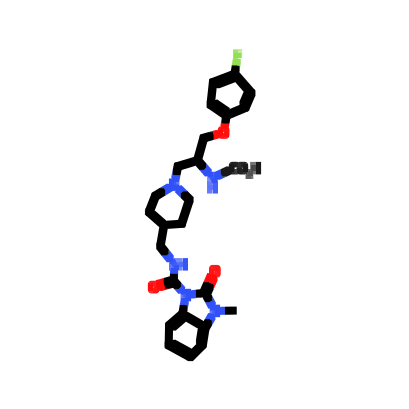 Cn1c(=O)n(C(=O)NCC2CCN(CC(COc3ccc(F)cc3)NC(=O)O)CC2)c2ccccc21